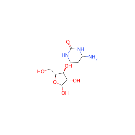 NC1CCNC(=O)N1.OC[C@H]1OC(O)[C@@H](O)[C@@H]1O